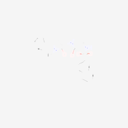 CC(C)N(Cc1ccccc1)C(=O)[C@H](C)N1CC[C@H](NS(=O)(=O)c2ccc3cc(Cl)ccc3c2)C1=O